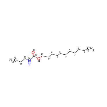 CCCCCCCCCCCOC(=O)NCCC